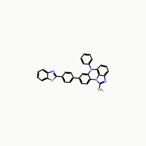 Cc1nc2cccc3c2n1-c1ccc(-c2ccc(-c4nc5ccccc5s4)cc2)cc1N3c1ccccc1